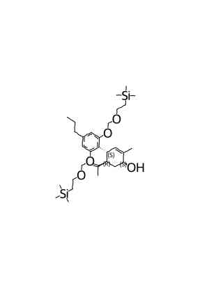 C=C(C)[C@@H]1C[C@H](O)C(C)=C[C@H]1c1c(OCOCC[Si](C)(C)C)cc(CCC)cc1OCOCC[Si](C)(C)C